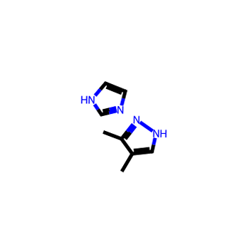 Cc1c[nH]nc1C.c1c[nH]cn1